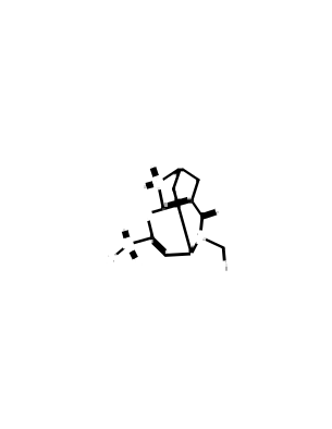 CC(C)CN1C(=O)C2=C3SC(S(N)(=O)=O)=CC1CC(C2)S3(=O)=O